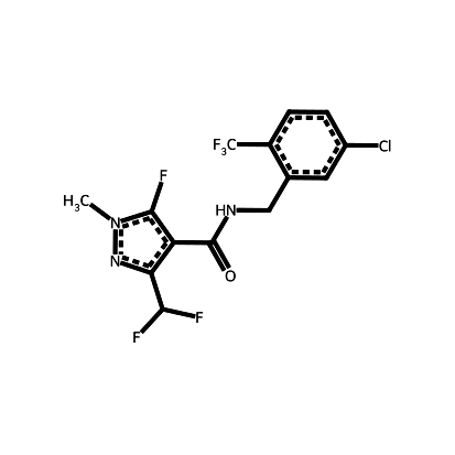 Cn1nc(C(F)F)c(C(=O)NCc2cc(Cl)ccc2C(F)(F)F)c1F